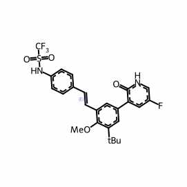 COc1c(/C=C/c2ccc(NS(=O)(=O)C(F)(F)F)cc2)cc(-c2cc(F)c[nH]c2=O)cc1C(C)(C)C